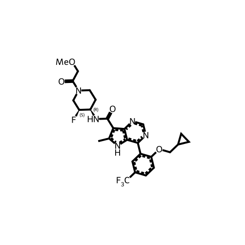 COCC(=O)N1CC[C@@H](NC(=O)c2c(C)[nH]c3c(-c4cc(C(F)(F)F)ccc4OCC4CC4)ncnc23)[C@@H](F)C1